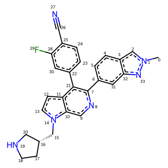 Cn1cc2ccc(-c3ncc4c(ccn4C[C@@H]4CCNC4)c3-c3ccc(C#N)c(F)c3)cc2n1